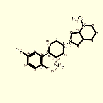 CN1CCCC2CN([C@H]3CO[C@H](c4cc(F)ccc4F)[C@@H](N)C3)CC21